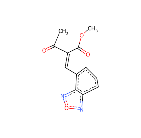 COC(=O)/C(=C\c1cccc2nonc12)C(C)=O